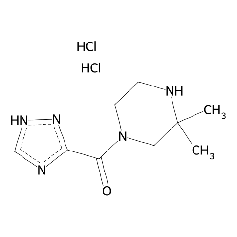 CC1(C)CN(C(=O)c2nc[nH]n2)CCN1.Cl.Cl